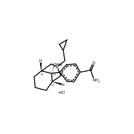 CO[C@@]1(c2ccc(C(N)=O)cc2)[C@@H]2CCC[C@H]1CN(CC1CC1)C2.Cl